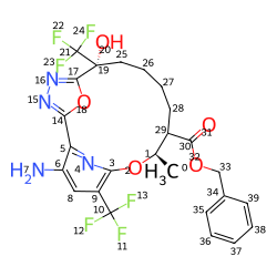 C[C@H]1Oc2nc(c(N)cc2C(F)(F)F)-c2nnc(o2)[C@@](O)(C(F)(F)F)CCCCC1C(=O)OCc1ccccc1